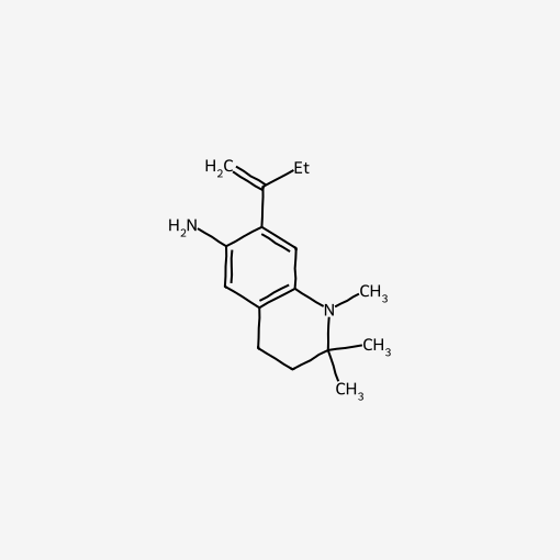 C=C(CC)c1cc2c(cc1N)CCC(C)(C)N2C